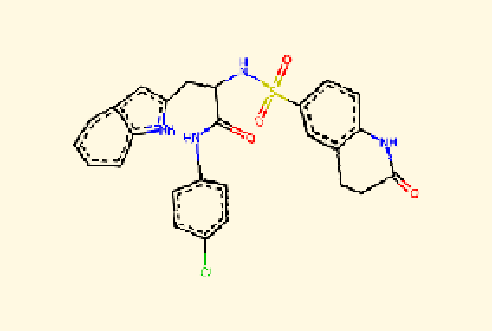 O=C1CCc2cc(S(=O)(=O)NC(Cc3cc4ccccc4[nH]3)C(=O)Nc3ccc(Cl)cc3)ccc2N1